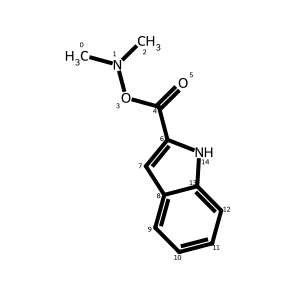 CN(C)OC(=O)c1cc2ccccc2[nH]1